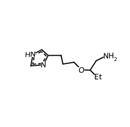 CCC(CN)OCCCc1c[nH]cn1